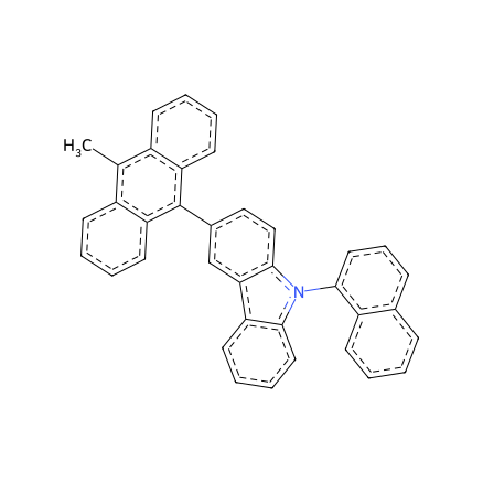 Cc1c2ccccc2c(-c2ccc3c(c2)c2ccccc2n3-c2cccc3ccccc23)c2ccccc12